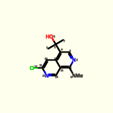 CNc1ncc(C(C)(C)O)c2cc(Cl)ncc12